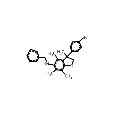 Cc1c(C)c2c(c(C)c1NCc1ccccc1)C(C)(c1ccc(C(C)C)cc1)CO2